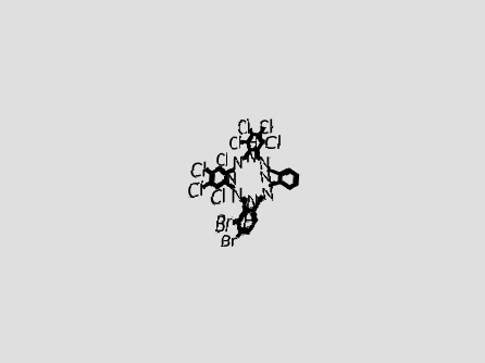 Clc1c(Cl)c(Cl)c2c(c1Cl)-c1nc-2nc2[nH]c(nc3nc(nc4[nH]c(n1)c1c(Br)c(Br)ccc41)-c1ccccc1-3)c1c(Cl)c(Cl)c(Cl)c(Cl)c21